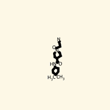 CC1(C)CCC(NC(=O)C2CCN(C(=O)CC#N)CC2)CC1